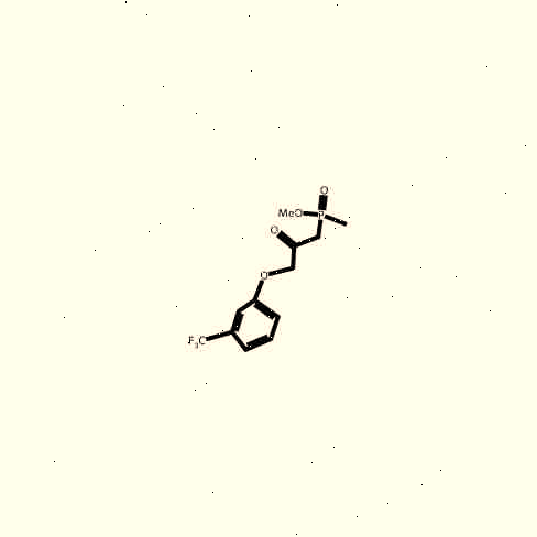 COP(C)(=O)CC(=O)COc1cccc(C(F)(F)F)c1